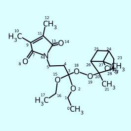 CCOC(CCN1C(=O)C(C)=C(C)C1=O)(OCC)OOC1(C)CCC2CC1C2(C)C